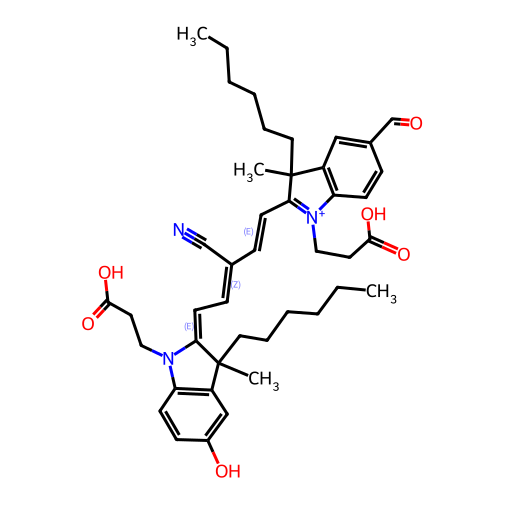 CCCCCCC1(C)C(/C=C/C(C#N)=C/C=C2/N(CCC(=O)O)c3ccc(O)cc3C2(C)CCCCCC)=[N+](CCC(=O)O)c2ccc(C=O)cc21